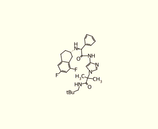 CC(C)(C)CNC(=O)C(C)(C)n1cnc(NC(=O)[C@@H](N[C@H]2CCc3cc(F)cc(F)c3C2)c2ccccc2)c1